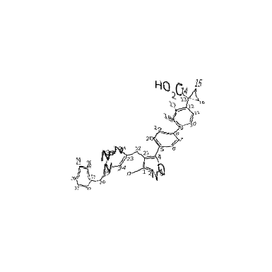 Cc1noc(-c2ccc(-c3ccc(C4(C(=O)O)CC4)cc3)cc2)c1Cc1cn(Cc2ccccc2)nn1